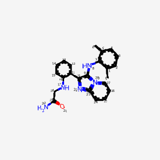 Cc1cccc(C)c1Nc1c(-c2ccccc2NCC(N)=O)nc2ccccn12